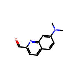 CN(C)c1ccc2ccc(C=O)nc2c1